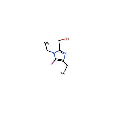 CCc1nc(CO)n(CC)c1I